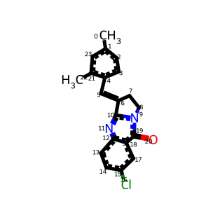 Cc1ccc(/C=C2\CCn3c2nc2ccc(Cl)cc2c3=O)c(C)c1